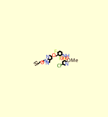 COc1ncc(Cl)cc1S(=O)(=O)Nc1ccc(F)c(COc2cnc3c(cnn3COCC[Si](C)(C)C)c2)c1F